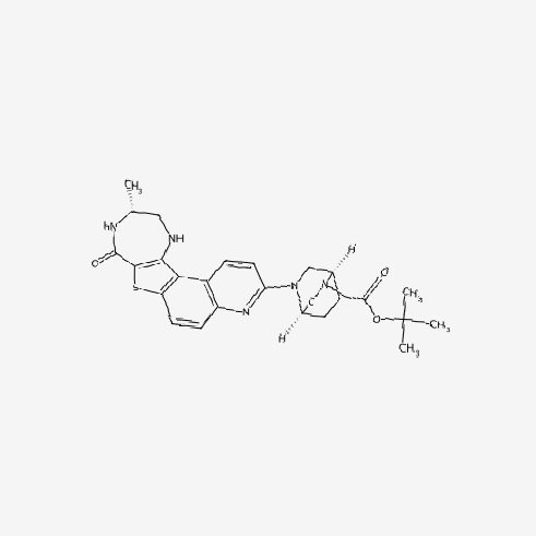 C[C@@H]1CNc2c(sc3ccc4nc(N5C[C@H]6CC[C@@H]5CN6C(=O)OC(C)(C)C)ccc4c23)C(=O)N1